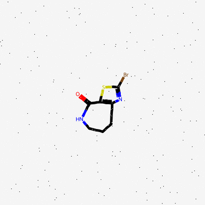 O=C1NCCCc2nc(Br)sc21